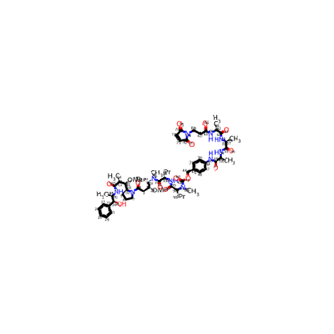 CC[C@H](C)[C@@H]([C@@H](CC(=O)N1CCC[C@H]1[C@H](OC)[C@@H](C)C(=O)N[C@H](C)[C@@H](O)c1ccccc1)OC)N(C)C(=O)[C@@H](NC(=O)[C@H](C(C)C)N(C)C(=O)OCc1ccc(NC(=O)[C@H](C)NC(=O)[C@H](C)NC(=O)[C@@H](C)NC(=O)CCN2C(=O)C=CC2=O)cc1)C(C)C